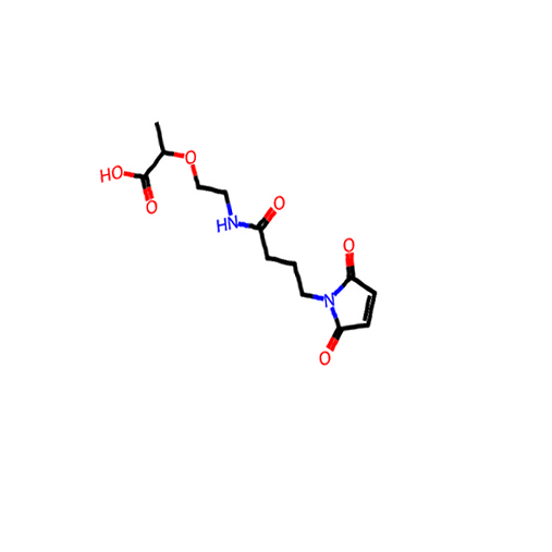 CC(OCCNC(=O)CCCN1C(=O)C=CC1=O)C(=O)O